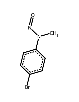 CN(N=O)c1ccc(Br)cc1